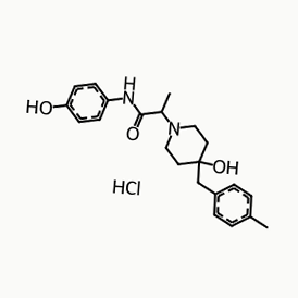 Cc1ccc(CC2(O)CCN(C(C)C(=O)Nc3ccc(O)cc3)CC2)cc1.Cl